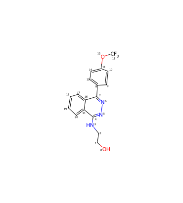 OCCNc1nnc(-c2ccc(OC(F)(F)F)cc2)c2ccccc12